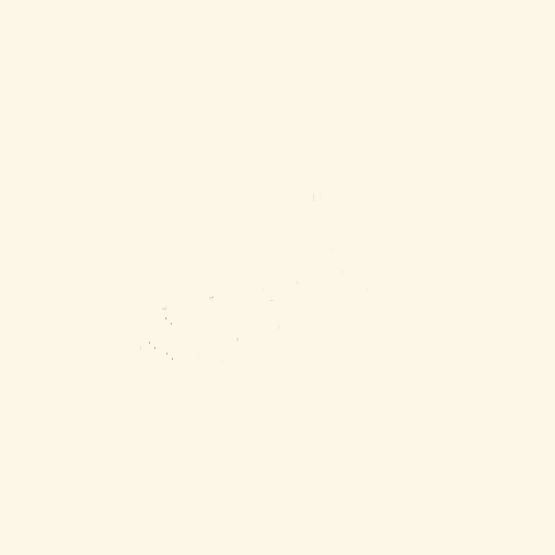 Cc1ccc(CCC(=O)Oc2ccc3[nH]nnc3c2)cc1CO